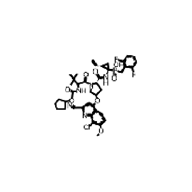 C=C[C@@H]1C[C@]1(NC(=O)[C@@H]1C[C@@H](Oc2cc(C#N)nc3c(Cl)c(OC)ccc23)CN1C(=O)C(NC(=O)OC1CCCC1)C(C)(C)C)P(=O)(O)Cc1c(F)cccc1F